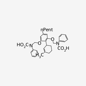 CCCCCc1cc(OCN(C(=O)O)c2ccccc2)c(C2C=C(C)CCC2)c(OCN(C(=O)O)c2ccccc2)c1